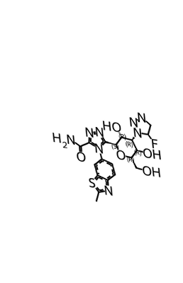 Cc1nc2ccc(-n3c(C(N)=O)nnc3[C@@H]3O[C@H](CO)[C@H](O)[C@H](N4N=NCC4F)[C@H]3O)cc2s1